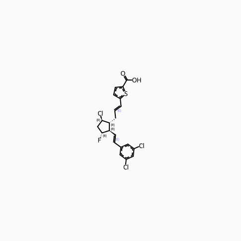 O=C(O)c1ccc(/C=C/C[C@@H]2[C@@H](/C=C/c3cc(Cl)cc(Cl)c3)[C@H](F)C[C@H]2Cl)s1